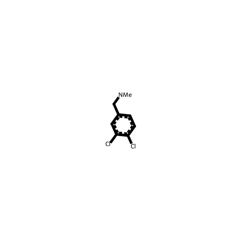 [CH2]NCc1ccc(Cl)c(Cl)c1